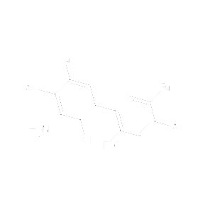 CC(=O)c1cc(C(F)(F)F)c(-c2cc(Br)c(C(C)=O)c(N)c2C(F)(F)F)cc1Br